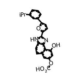 CC(C)c1cccc(-c2ccc(-c3nc4c(ccc5cc(OC(=O)O)cc(O)c54)[nH]3)o2)c1